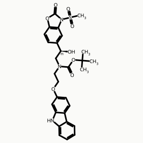 CC(C)(C)OC(=O)N(CCOc1ccc2c(c1)[nH]c1ccccc12)C[C@H](O)c1ccc2oc(=O)n(S(C)(=O)=O)c2c1